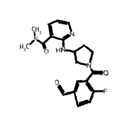 CN(C)C(=O)c1cccnc1NC1CCN(C(=O)c2cc(C=O)ccc2F)C1